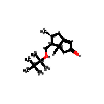 C[C@@H]1CC2=CC(=O)C[C@@H]2[C@H]1CO[Si](C)(C)C(C)(C)C